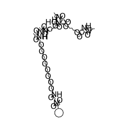 COc1cc2c(cc1OCCCCCOc1cc3c(cc1OC)C(=O)N1C=C(C)C[C@H]1[C@H](O)N3C(=O)OCc1ccc(NC(=O)[C@H](C)NC(=O)[C@@H](NC(=O)CCOCCOCCOCCOCCOCCOCCOCCOCCNC(=O)CCN3C(=O)CC(C4CCCCCCCCCC4)C3=O)C(C)C)cc1)N=C[C@@H]1CC(C)=CN1C2=O